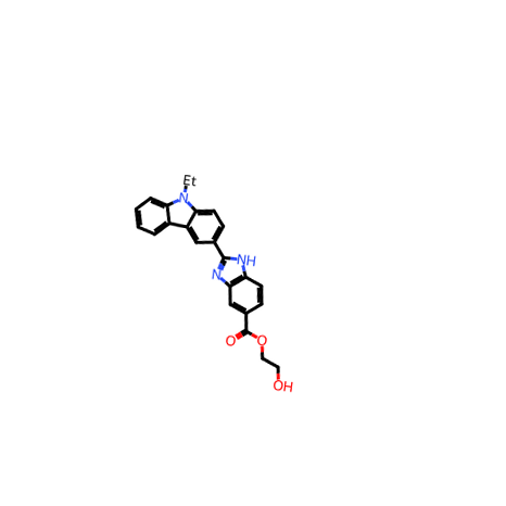 CCn1c2ccccc2c2cc(-c3nc4cc(C(=O)OCCO)ccc4[nH]3)ccc21